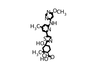 COc1cc(Nc2cc(C)cc(-c3cnc([C@@]4(O)CC[C@@H](C(=O)O)C(C)(C)C4)s3)n2)ncn1